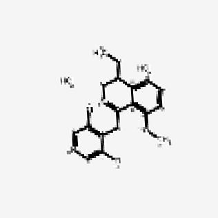 CCC1CN=C(Cc2c(Cl)cncc2Cl)c2c(OC)cccc21.Cl.Cl